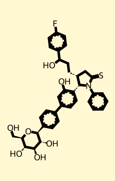 OC[C@H]1O[C@@H](c2ccc(-c3ccc([C@@H]4[C@H](CCC(O)c5ccc(F)cc5)CC(=S)N4c4ccccc4)c(O)c3)cc2)[C@H](O)[C@@H](O)[C@@H]1O